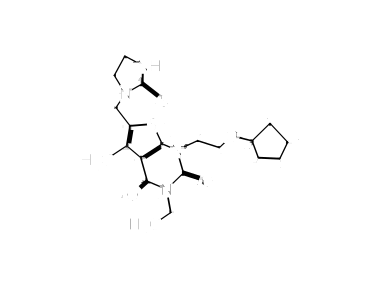 CCn1c(=O)c2c(C)c(CN3CCNC3=S)sc2n(CCOC2CCCC2)c1=O